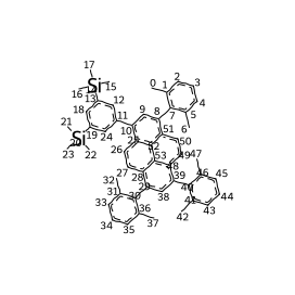 Cc1cccc(C)c1-c1cc(-c2cc([Si](C)(C)C)cc([Si](C)(C)C)c2)c2ccc3c(-c4c(C)cccc4C)cc(-c4c(C)cccc4C)c4ccc1c2c34